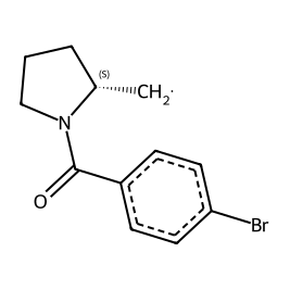 [CH2][C@H]1CCCN1C(=O)c1ccc(Br)cc1